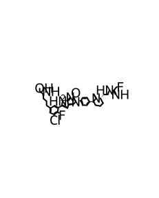 CN1[C@H](CCNC(=N)CF)CCC[C@H]1c1ccc(-n2cc3cc(-c4cc(CCC[C@@H](N)CO)cc(Cl)c4F)[nH]c3nc2=O)cc1